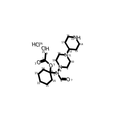 CC(=O)OC1(N(C=O)N2CCN(C3CCNCC3)CC2)CCCCC1.Cl.Cl